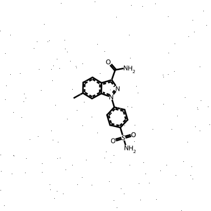 Cc1ccc2c(C(N)=O)nn(-c3ccc(S(N)(=O)=O)cc3)c2c1